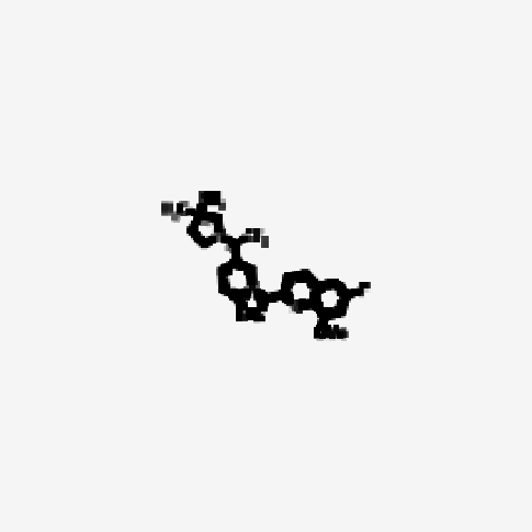 COc1cc(F)cc2ccc(-c3nnc4ccc([C@@H](N5CC[C@](C)(N)C5)C(F)(F)F)cn34)nc12